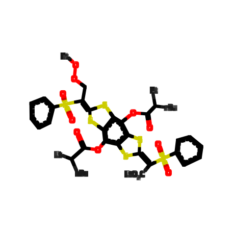 CCCCC(CC)C(=O)Oc1c2c(c(OC(=O)C(CC)CCCC)c3c1SC(=C(C(=O)OCC)S(=O)(=O)c1ccccc1)S3)SC(=C(COOCC)S(=O)(=O)c1ccccc1)S2